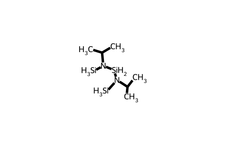 CC(C)N([SiH3])[SiH2]N([SiH3])C(C)C